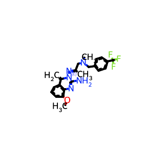 C=C1c2cccc(OC)c2N=C(N)N1/N=C(\C)CN(C)Cc1ccc(C(F)(F)F)cc1